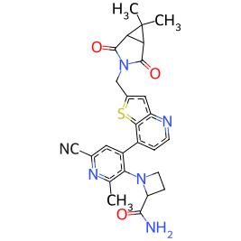 Cc1nc(C#N)cc(-c2ccnc3cc(CN4C(=O)C5C(C4=O)C5(C)C)sc23)c1N1CCC1C(N)=O